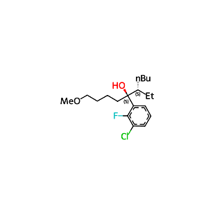 CCCC[C@H](CC)[C@@](O)(CCCCOC)c1cccc(Cl)c1F